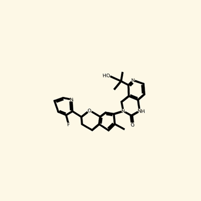 Cc1cc2c(cc1N1Cc3c(ccnc3C(C)(C)O)NC1=O)OC(c1ncccc1F)CC2